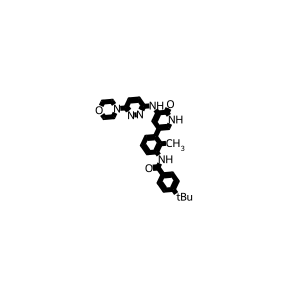 Cc1c(NC(=O)c2ccc(C(C)(C)C)cc2)cccc1-c1c[nH]c(=O)c(Nc2ccc(N3CCOCC3)nn2)c1